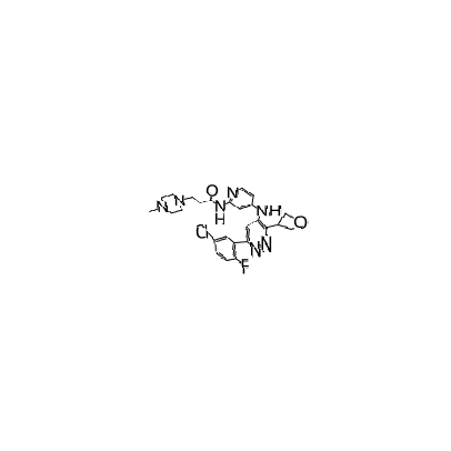 CN1CCN(CCC(=O)Nc2cc(Nc3cc(-c4cc(Cl)ccc4F)nnc3C3COC3)ccn2)CC1